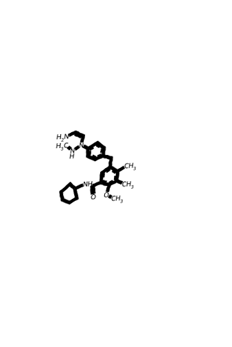 CNN(/C=C\N)c1ccc(Cc2cc(C(=O)NC3CCCCC3)c(OC)c(C)c2C)cc1